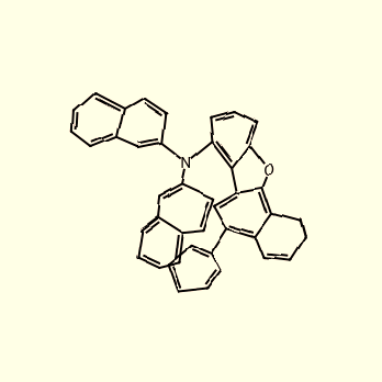 C1=Cc2c(-c3ccccc3)cc3c(oc4cccc(N(c5ccc6ccccc6c5)c5ccc6ccccc6c5)c43)c2CC1